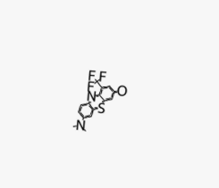 CN(C)c1ccc2nc3c(C(F)(F)F)cc(=O)cc-3sc2c1